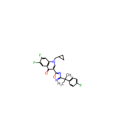 CC(C)(c1ccc(F)cc1)c1noc(-c2cn(CC3CC3)c3cc(F)c(F)cc3c2=O)n1